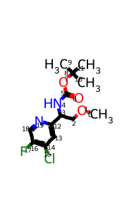 COCC(NC(=O)OC(C)(C)C)c1cc(Cl)c(F)cn1